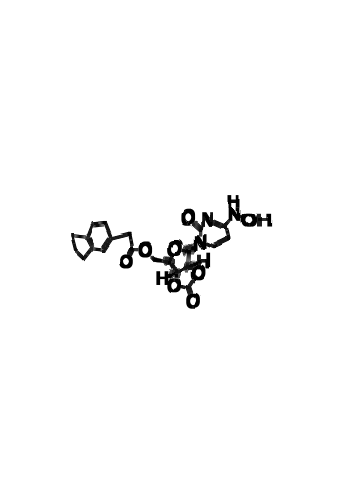 O=C(Cc1ccc2c(c1)CCC2)OC[C@H]1O[C@@H](n2ccc(NO)nc2=O)[C@@H]2OC(=O)O[C@@H]21